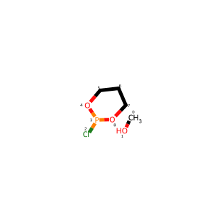 CO.ClP1OCCCO1